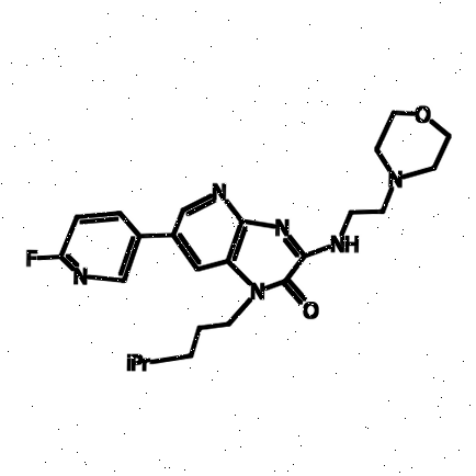 CC(C)CCCn1c(=O)c(NCCN2CCOCC2)nc2ncc(-c3ccc(F)nc3)cc21